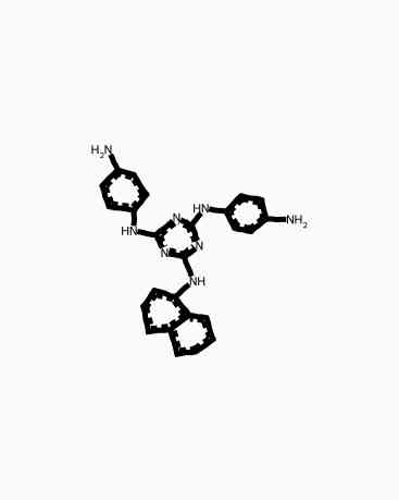 Nc1ccc(Nc2nc(Nc3ccc(N)cc3)nc(Nc3cccc4ccccc34)n2)cc1